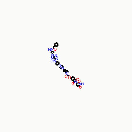 O=C1CC[C@H](N2C(=O)c3ccc(OCC(=O)N4CCC5(CC(N6CCN(c7ccc(Nc8ncnc9c8ncn9C8CC(NC(=O)Cc9ccccc9)C8)cc7)CC6)C5)C4)cc3C2=O)C(=O)N1